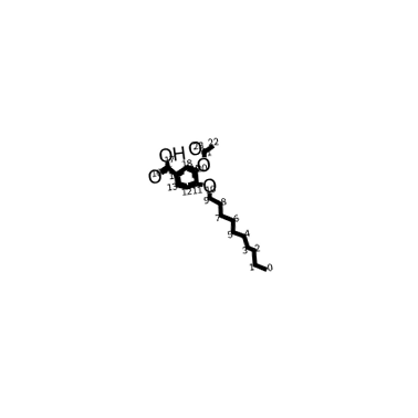 CCCCCCCCCCOc1ccc(C(=O)O)cc1OC(C)=O